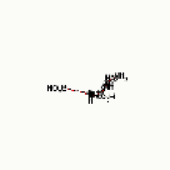 NCC(=O)NCCOCCOCC(=O)NCCOCCOCC(=O)N[C@@H](CCCCNC(=O)CCCCCCCCCCCCCCCCCCCCC(=O)O)C(=O)O